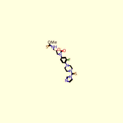 COC(=S)NC[C@H]1CN(c2ccc(N3CCN(C(=S)n4ccnc4)CC3)c(F)c2)C(=O)O1